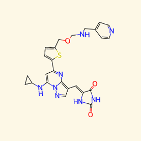 O=C1NC(=O)/C(=C/c2cnn3c(NC4CC4)cc(-c4ccc(COCNCc5ccncc5)s4)nc23)N1